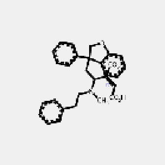 CN(CCc1ccccc1)C(CC1(c2ccccc2)COc2ccccc21)/C(=C\C(=O)O)C(=O)O